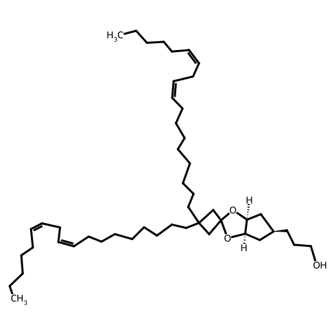 CCCCC/C=C\C/C=C\CCCCCCCCC1(CCCCCCCC/C=C\C/C=C\CCCCC)CC2(C1)O[C@H]1C[C@@H](CCCO)C[C@H]1O2